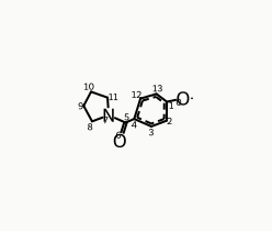 [O]c1ccc(C(=O)N2CCCC2)cc1